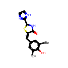 CC(C)(C)c1cc(/C=C2/SC(c3ncc[nH]3)NC2=O)cc(C(C)(C)C)c1O